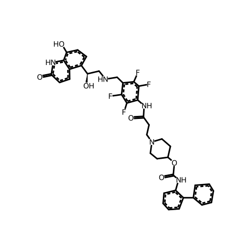 O=C(CCN1CCC(OC(=O)Nc2ccccc2-c2ccccc2)CC1)Nc1c(F)c(F)c(CNC[C@@H](O)c2ccc(O)c3[nH]c(=O)ccc23)c(F)c1F